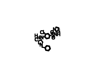 C[C@H]1CN(Cc2ccccc2)C[C@@H]1Nc1ccc(S(=O)(=O)Nc2nccs2)cc1Cl